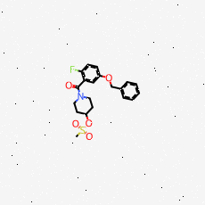 CS(=O)(=O)OC1CCN(C(=O)c2cc(OCc3ccccc3)ccc2F)CC1